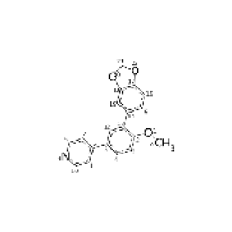 COc1ccc(-c2ccncc2)cc1-c1ccc2c(c1)OCO2